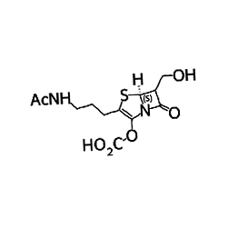 CC(=O)NCCCC1=C(OC(=O)O)N2C(=O)C(CO)[C@@H]2S1